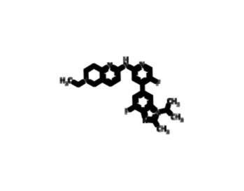 CCN1CCc2nc(Nc3cc(-c4cc(F)c5nc(C)n(C(C)C)c5c4)c(F)cn3)ccc2C1